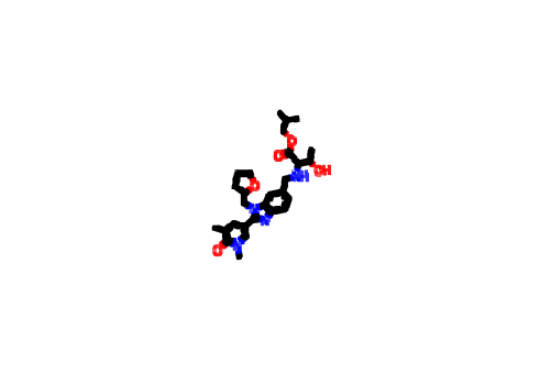 Cc1cc(-c2nc3ccc(CNC(C(=O)OCC(C)C)C(C)O)cc3n2CC2CCCO2)cn(C)c1=O